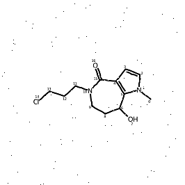 Cn1ccc2c1C(O)CCN(CCCCl)C2=O